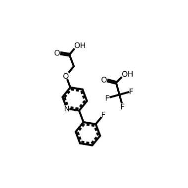 O=C(O)C(F)(F)F.O=C(O)COc1ccc(-c2ccccc2F)nc1